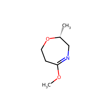 COC1=NC[C@@H](C)OCC1